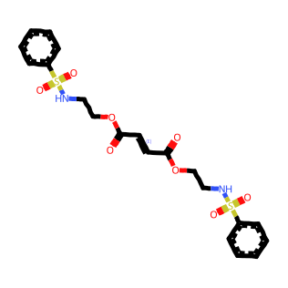 O=C(/C=C/C(=O)OCCNS(=O)(=O)c1ccccc1)OCCNS(=O)(=O)c1ccccc1